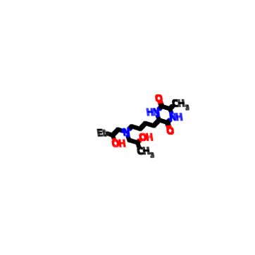 CCC(O)CN(CCCCC1NC(=O)C(C)NC1=O)CC(C)O